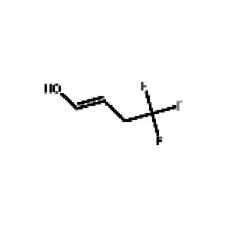 OC=CCC(F)(F)F